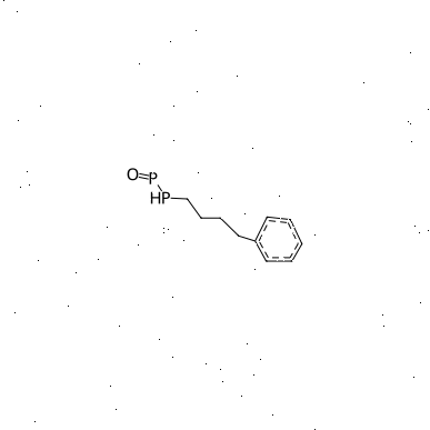 O=PPCCCCc1ccccc1